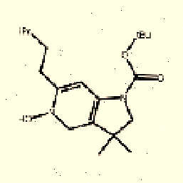 CC(C)CCC1=CC2=C(CN1O)C(C)(C)CN2C(=O)OC(C)(C)C